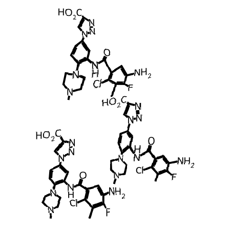 Cc1c(F)c(N)cc(C(=O)Nc2cc(-n3cc(C(=O)O)nn3)ccc2N2CCN(C)CC2)c1Cl.Cc1c(F)c(N)cc(C(=O)Nc2cc(-n3cc(C(=O)O)nn3)ccc2N2CCN(C)CC2)c1Cl.Cc1c(F)c(N)cc(C(=O)Nc2cc(-n3cc(C(=O)O)nn3)ccc2N2CCN(C)CC2)c1Cl